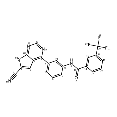 N#Cc1cc2c(-c3cccc(NC(=O)c4cccc(C(F)(F)F)c4)c3)ncnc2s1